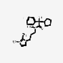 Cc1n(CCCN(C)C(=O)C(O)(c2ccccc2)C2CCCC2)cc[n+]1C.[I-]